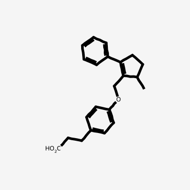 CC1CCC(c2ccccc2)=C1COc1ccc(CCC(=O)O)cc1